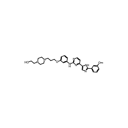 COc1cccc(-c2ncc(-c3ccnc(Nc4cccc(OCCCN5CCN(CCO)CC5)c4)n3)[nH]2)c1